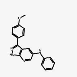 COc1ccc(-c2n[nH]c3ncc(Nc4ccccc4)cc23)cc1